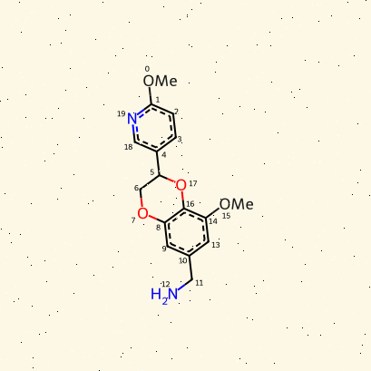 COc1ccc(C2COc3cc(CN)cc(OC)c3O2)cn1